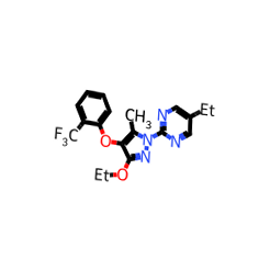 CCOc1nn(-c2ncc(CC)cn2)c(C)c1Oc1ccccc1C(F)(F)F